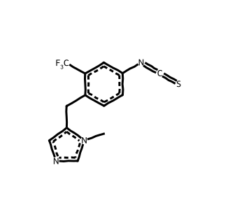 Cn1cncc1Cc1ccc(N=C=S)cc1C(F)(F)F